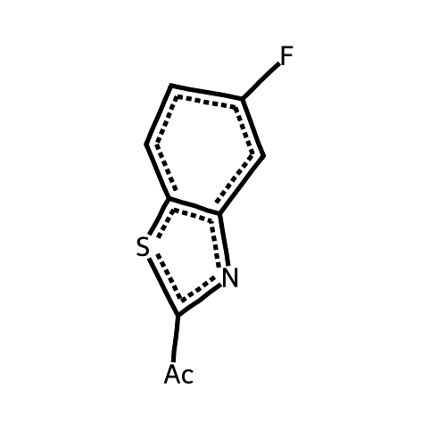 CC(=O)c1nc2cc(F)ccc2s1